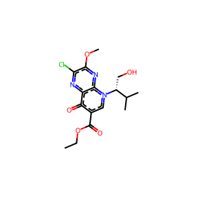 CCOC(=O)c1cn([C@H](CO)C(C)C)c2nc(OC)c(Cl)nc2c1=O